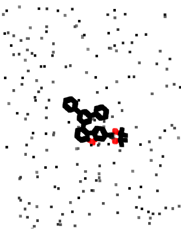 CC1(C)OB(c2ccc3c(c2)oc2cccc(-c4cc(-c5ccccc5)cc(-c5ccccc5)c4)c23)OC1(C)C